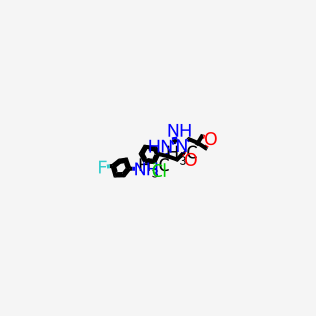 CC1(CN2C(=N)N[C@](C)(c3cccc(Nc4ccc(F)cc4)c3Cl)CC2=O)COC1